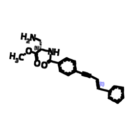 COC(=O)[C@H](CN)NC(=O)c1ccc(C#C/C=C/c2ccccc2)cc1